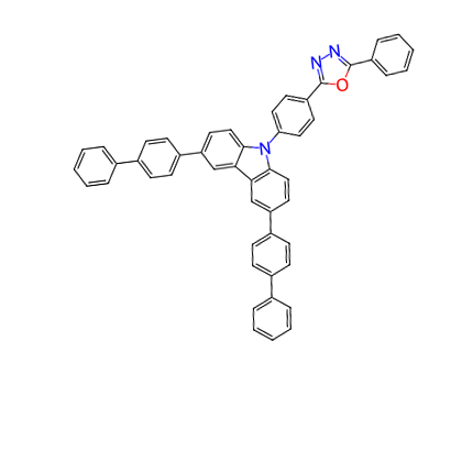 c1ccc(-c2ccc(-c3ccc4c(c3)c3cc(-c5ccc(-c6ccccc6)cc5)ccc3n4-c3ccc(-c4nnc(-c5ccccc5)o4)cc3)cc2)cc1